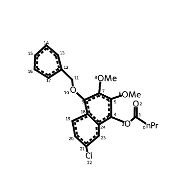 CCCC(=O)Oc1c(OC)c(OC)c(OCc2ccccc2)c2ccc(Cl)cc12